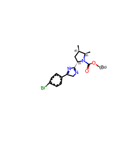 C[C@@H]1C[C@@H](C2=NCC(c3ccc(Br)cc3)=N2)N(C(=O)OC(C)(C)C)[C@@H]1C